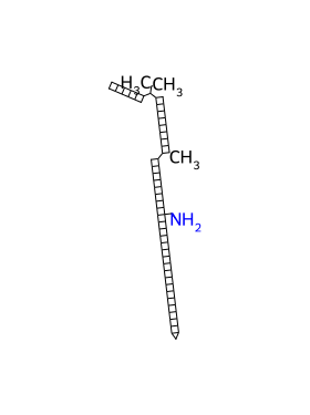 CC(C)C(C1CC2C1C1C3C4CCC4C3C21)C1CC2C1C1C2C2C1C1C2C2C3C4C(C)C(C5CC6C5C5C6C6C5C5C6C6C5C5C6C6C5C5(CN)C7C8C9C%10C%11C%12C%13C%14C%15C%16C%17C%18C%19C%20C%21C%22C%23CC%23C%22C%21C%20C%19C%18C%17C%16C%15C%14C%13C%12C%11C%10C9C8C7C65)C4C3C21